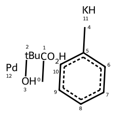 CC(=O)O.CC(C)(C)O.Cc1ccccc1.[KH].[Pd]